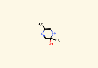 CC1=CNC(C)(O)C=N1